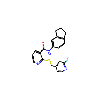 O=C(Nc1ccc2c(c1)CCC2)c1cccnc1SCc1ccnc(F)c1